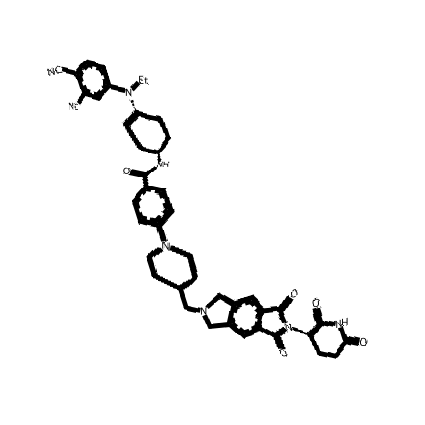 CCN(c1ccc(C#N)c(C#N)c1)[C@H]1CC[C@H](NC(=O)c2ccc(N3CCC(CN4Cc5cc6c(cc5C4)C(=O)N([C@@H]4CCC(=O)NC4=O)C6=O)CC3)cc2)CC1